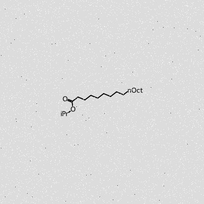 CCCCCCCCCCCCCCCCC(=O)OC(C)C